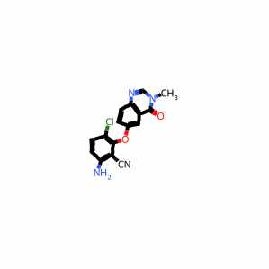 Cn1cnc2ccc(Oc3c(Cl)ccc(N)c3C#N)cc2c1=O